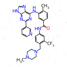 Cc1ccc(C(=O)Nc2ccc(CN3CCN(C)CC3)c(C(F)(F)F)c2)cc1Nc1nc(-c2cccnc2)nc2[nH]cnc12